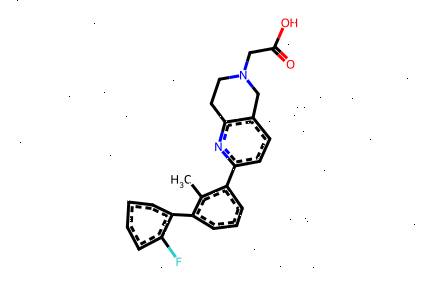 Cc1c(-c2ccc3c(n2)CCN(CC(=O)O)C3)cccc1-c1ccccc1F